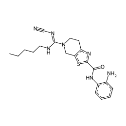 CCCCCN/C(=N\C#N)N1CCc2nc(C(=O)Nc3ccccc3N)sc2C1